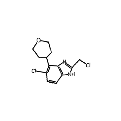 ClCc1nc2c(C3CCOCC3)c(Cl)ccc2[nH]1